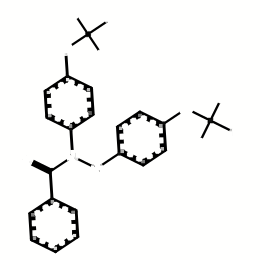 O=C(c1ccccc1)N(Nc1ccc(OC(F)(F)F)cc1)c1ccc(OC(F)(F)F)cc1